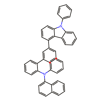 c1ccc(N(c2ccccc2-c2cccc(-c3cccc4c3c3ccccc3n4-c3ccccc3)c2)c2cccc3ccccc23)cc1